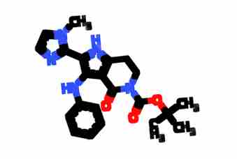 Cn1ccnc1-c1[nH]c2c(c1Nc1ccccc1)C(=O)N(C(=O)OC(C)(C)C)CC2